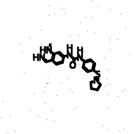 CNc1cc(NC(=O)Nc2ccc(SN3CCCC3)cc2)ccc1C=N